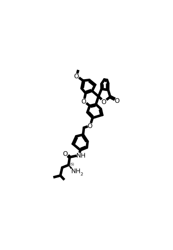 COc1ccc2c(c1)Oc1cc(OCc3ccc(NC(=O)[C@@H](N)CC(C)C)cc3)ccc1C21OC(=O)c2ccccc21